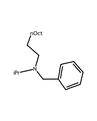 CCCCCCCCCCN(Cc1ccccc1)C(C)C